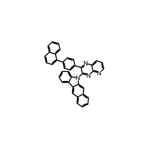 c1ccc2cc3c(cc2c1)c1ccccc1n3-c1nc2ncccc2nc1-c1ccc(-c2cccc3ccccc23)cc1